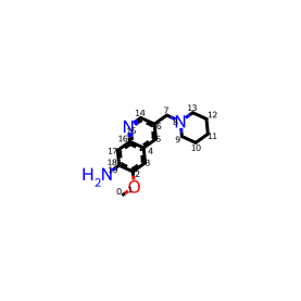 COc1cc2cc(CN3CCCCC3)cnc2cc1N